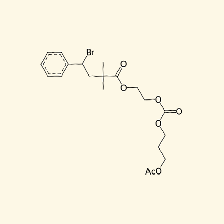 CC(=O)OCCCOC(=O)OCCOC(=O)C(C)(C)CC(Br)c1ccccc1